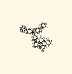 c1ccc(-c2ccc(-c3cc(N(c4ccc(-c5ccccc5)cc4)c4ccc(-c5ccccc5)cc4)ccc3-c3cccc(-c4ccccc4)c3)cc2)cc1